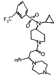 CCCC(CC(=O)N1CCC(N(C2CC2)S(=O)(=O)c2cccc(C(F)(F)F)c2)CC1)N1CCN(C)CC1